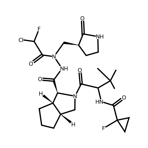 CC(C)(C)C(NC(=O)C1(F)CC1)C(=O)N1C[C@@H]2CCC[C@@H]2[C@H]1C(=O)NN(C[C@@H]1CCNC1=O)C(=O)C(F)Cl